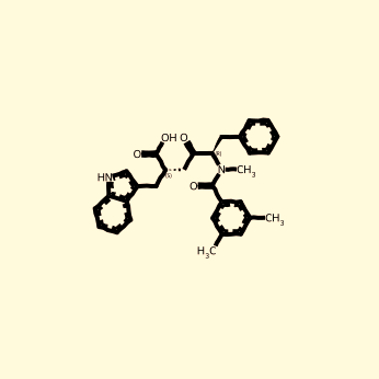 Cc1cc(C)cc(C(=O)N(C)[C@H](Cc2ccccc2)C(=O)C[C@H](Cc2c[nH]c3ccccc23)C(=O)O)c1